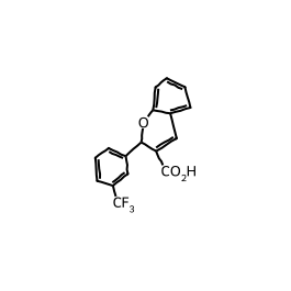 O=C(O)C1=Cc2ccccc2OC1c1cccc(C(F)(F)F)c1